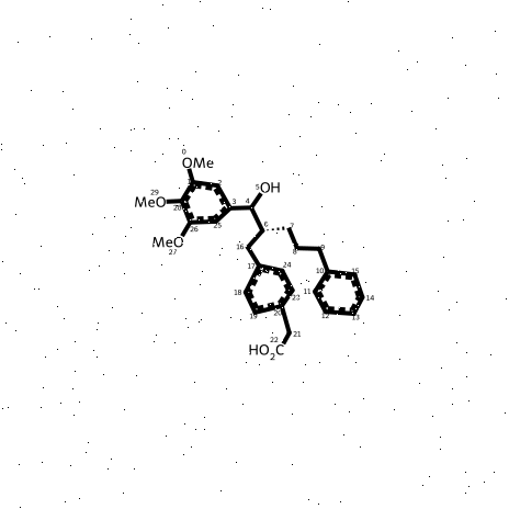 COc1cc(C(O)[C@H](CCCc2ccccc2)Cc2ccc(CC(=O)O)cc2)cc(OC)c1OC